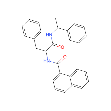 CC(NC(=O)C(Cc1ccccc1)NC(=O)c1cccc2ccccc12)c1ccccc1